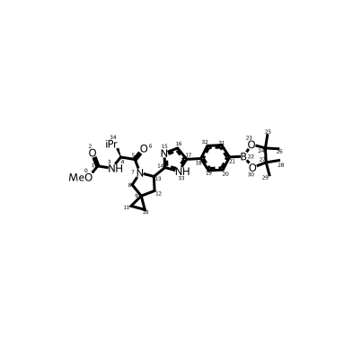 COC(=O)N[C@H](C(=O)N1CC2(CC2)CC1c1ncc(-c2ccc(B3OC(C)(C)C(C)(C)O3)cc2)[nH]1)C(C)C